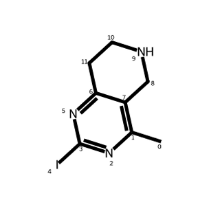 Cc1nc(I)nc2c1CNCC2